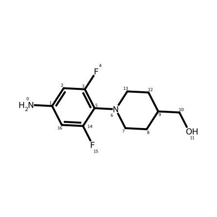 Nc1cc(F)c(N2CCC(CO)CC2)c(F)c1